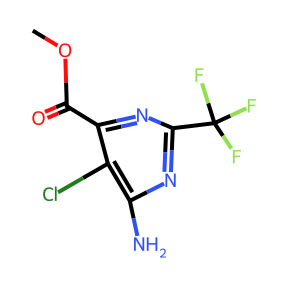 COC(=O)c1nc(C(F)(F)F)nc(N)c1Cl